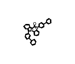 O=c1c2c3ccccc3c(-c3cccc(-c4ccccc4)c3)n2c2ccccc2n1-c1ccc(-c2ccccc2)cc1